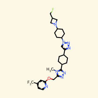 Cn1c(COc2cc(C(F)(F)F)ccn2)nnc1C1CCC(c2cn(C3CCC(N4CC(CF)C4)CC3)nn2)CC1